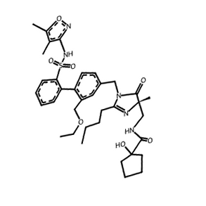 CCCCC1=N[C@@](C)(CNC(=O)C2(O)CCCC2)C(=O)N1Cc1ccc(-c2ccccc2S(=O)(=O)Nc2noc(C)c2C)c(COCC)c1